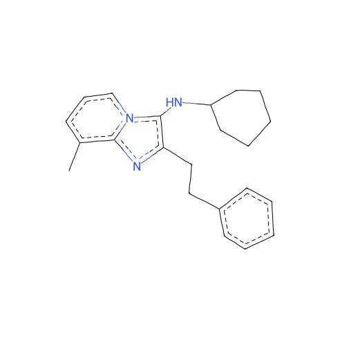 Cc1cccn2c(NC3CCCCC3)c(CCc3ccccc3)nc12